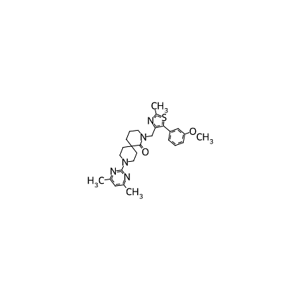 COc1cccc(-c2sc(C)nc2CN2CCCC3(CCN(c4nc(C)cc(C)n4)CC3)C2=O)c1